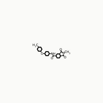 Cc1ccc(Oc2ccc(NC(=O)c3ccc4c(c3)C(=O)N(C)C4=O)cc2)cc1